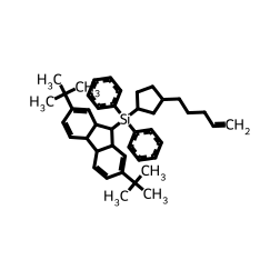 C=CCCCC1CCC([Si](c2ccccc2)(c2ccccc2)C2C3C=C(C(C)(C)C)C=CC3C3C=CC(C(C)(C)C)=CC32)C1